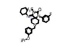 CC(C)Oc1cccc(CN2CCC3(CC2)/C(=N/C2CCCCC2)N(C)C(=O)N3c2cccc(F)c2)c1